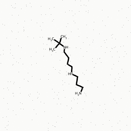 CC(C)(C)NCCCCNCCCN